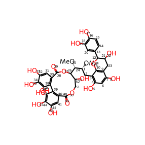 CO[C@H](Cc1c(O)cc(O)c2c1OC(c1ccc(O)c(O)c1)C(O)C2)[C@@H](OC)C1OC(=O)c2cc(O)c(O)c(O)c2-c2c(cc(O)c(O)c2O)C(=O)OCC1O